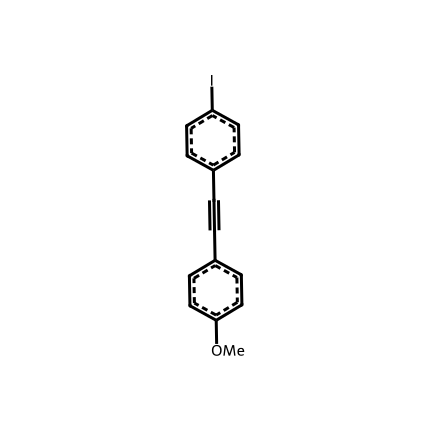 COc1ccc(C#Cc2ccc(I)cc2)cc1